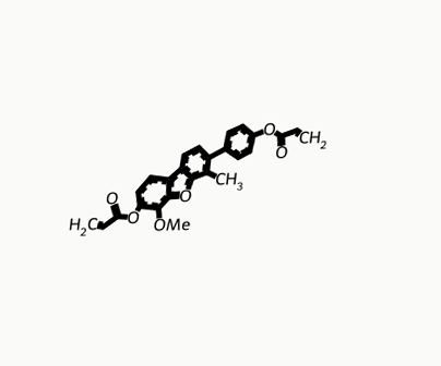 C=CC(=O)Oc1ccc(-c2ccc3c(oc4c(OC)c(OC(=O)C=C)ccc43)c2C)cc1